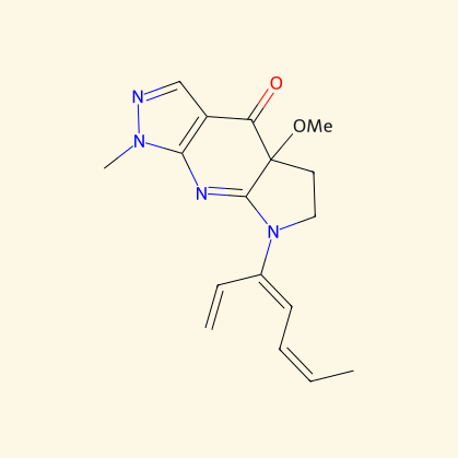 C=C/C(=C\C=C/C)N1CCC2(OC)C(=O)c3cnn(C)c3N=C12